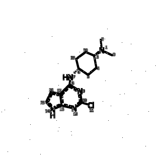 CN(C)[C@H]1CC[C@H](Nc2nc(Cl)nc3[nH]ccc23)CC1